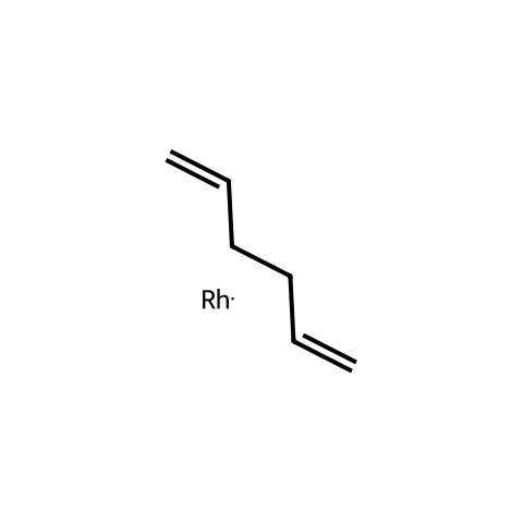 C=CCCC=C.[Rh]